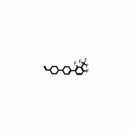 C=CC1CCC(C2CC=C(c3ccc(F)c(C(F)(F)F)c3F)CC2)CC1